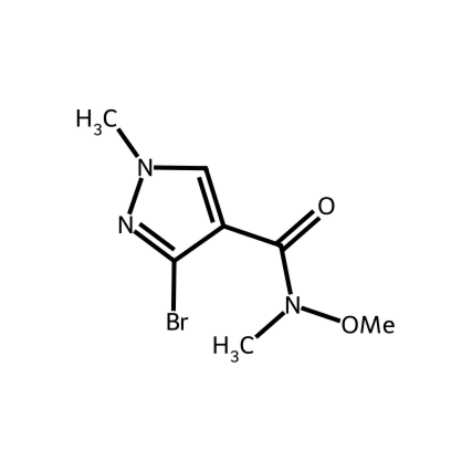 CON(C)C(=O)c1cn(C)nc1Br